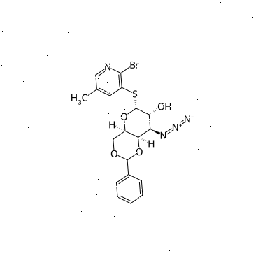 Cc1cnc(Br)c(S[C@H]2O[C@@H]3COC(c4ccccc4)O[C@@H]3[C@H](N=[N+]=[N-])[C@H]2O)c1